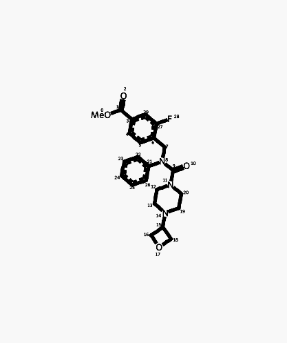 COC(=O)c1ccc(CN(C(=O)N2CCN(C3COC3)CC2)c2ccccc2)c(F)c1